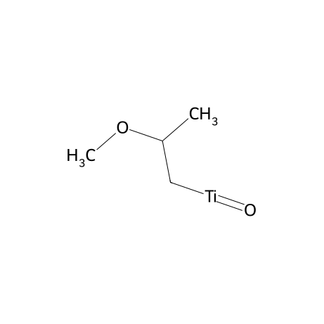 COC(C)[CH2][Ti]=[O]